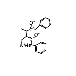 CNCC(C(C)[S+]([O-])Cc1ccccc1)[S+]([O-])Cc1ccccc1